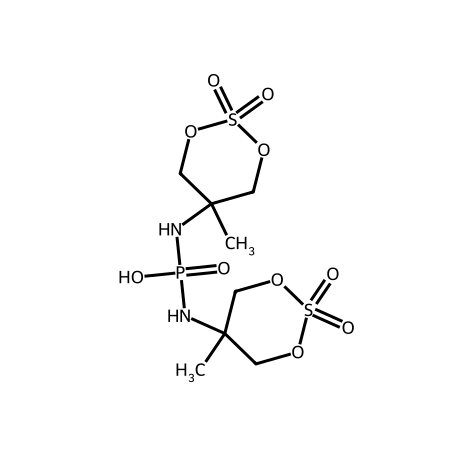 CC1(NP(=O)(O)NC2(C)COS(=O)(=O)OC2)COS(=O)(=O)OC1